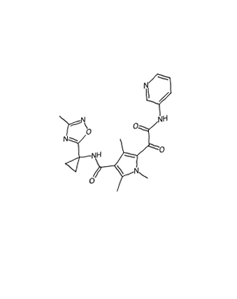 Cc1noc(C2(NC(=O)c3c(C)c(C(=O)C(=O)Nc4cccnc4)n(C)c3C)CC2)n1